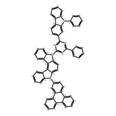 c1ccc(-c2nc(-c3ccc4c5ccccc5n(-c5ccccc5)c4c3)nc(-n3c4ccccc4c4c5c6ccccc6n(-c6ccc7c8ccccc8c8ccccc8c7c6)c5ccc43)n2)cc1